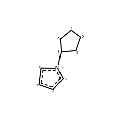 [CH]1CCC(n2cccc2)C1